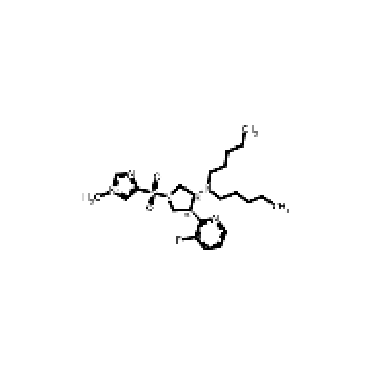 CCCCCN(CCCCC)[C@H]1CN(S(=O)(=O)c2cn(C)cn2)C[C@@H]1c1ncccc1F